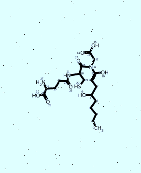 CCCCCC(O)CC=C(O)N(CC(=O)O)C(=O)C(CS)NC(=O)CCC(N)C(=O)O